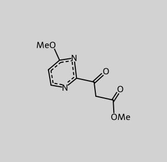 COC(=O)CC(=O)c1nccc(OC)n1